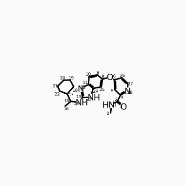 CNC(=O)c1cc(Oc2ccc3nc(NC(C)C4CCCCC4)[nH]c3c2)ccn1